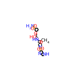 C.NS(=O)(=O)c1cccc(OCC(O)CNC2COC3(CCN(S(=O)(=O)c4cnc5cc[nH]c5c4)CC3)C2)c1